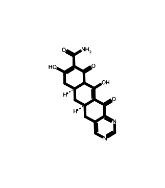 NC(=O)C1=C(O)C[C@@H]2C[C@@H]3Cc4cncnc4C(=O)C3=C(O)C2C1=O